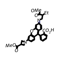 CCC(C/N=c1\ccc2c(-c3ccccc3C(=O)O)c3ccc(N4CC(C(=O)OC)C4)cc3oc-2c1)C(=O)OC